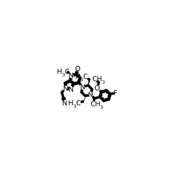 CCOc1cc(F)ccc1C(C)N1C[C@H](CC)N(c2cc(=O)n(C)c3cn(CC#N)nc23)C[C@H]1CC